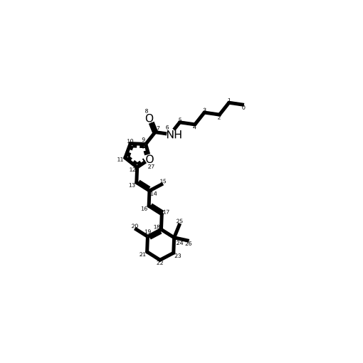 CCCCCCNC(=O)c1ccc(/C=C(C)/C=C/C2=C(C)CCCC2(C)C)o1